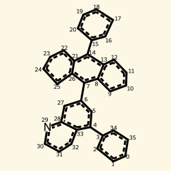 c1ccc(-c2cc(-c3c4ccccc4c(-c4ccccc4)c4ccccc34)cc3ncccc23)cc1